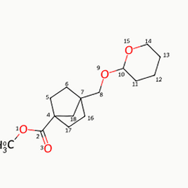 COC(=O)C12CCC(COC3CCCCO3)(CC1)C2